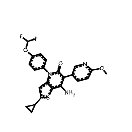 COc1ccc(-c2c(N)c3sc(C4CC4)cc3n(-c3ccc(OC(F)F)cc3)c2=O)cn1